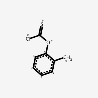 Cc1ccccc1OC(=S)Cl